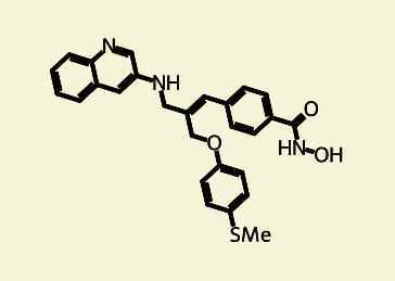 CSc1ccc(OCC(=Cc2ccc(C(=O)NO)cc2)CNc2cnc3ccccc3c2)cc1